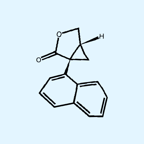 O=C1OC[C@@H]2C[C@]12c1cccc2ccccc12